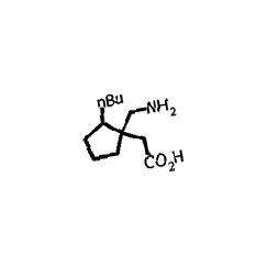 CCCCC1CCCC1(CN)CC(=O)O